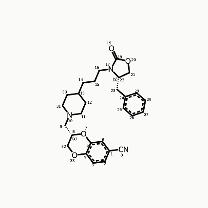 N#Cc1ccc2c(c1)O[C@@H](CN1CCC(CCCN3C(=O)OC[C@@H]3Cc3ccccc3)CC1)CO2